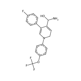 NC(O)C1=CCN(c2ccc(OC(F)(F)F)cc2)C=C1c1ccc(F)cc1